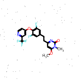 COc1cc(CCc2cc(F)c(Oc3ccnc(C(F)(F)F)c3)c(F)c2)nc(=O)n1C